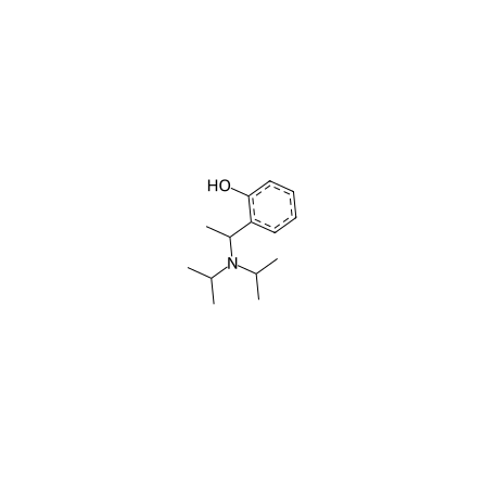 CC(C)N(C(C)C)C(C)c1ccccc1O